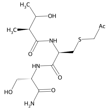 CC(=O)CSC[C@H](NC(=O)[C@@H](C)C(C)O)C(=O)N[C@@H](CO)C(N)=O